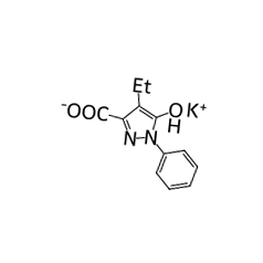 CCc1c(C(=O)[O-])nn(-c2ccccc2)c1O.[K+]